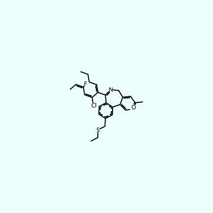 C/C=C1\C(=C/C(C)=O)CN=C(C(=C/CCC)/C(Cl)=C\C(F)=C/C)c2ccc(CSCC)cc21